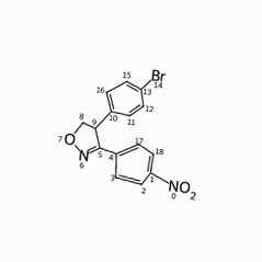 O=[N+]([O-])c1ccc(C2=NOCC2c2ccc(Br)cc2)cc1